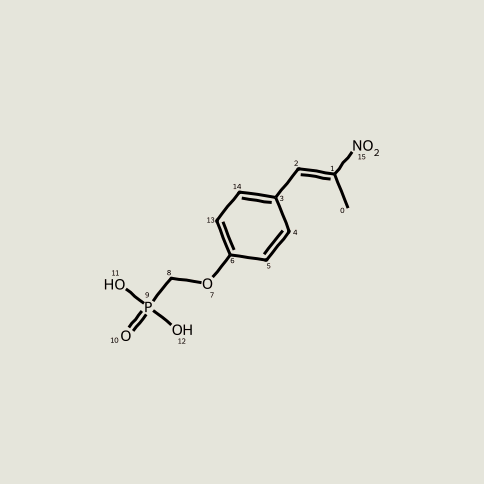 C/C(=C\c1ccc(OCP(=O)(O)O)cc1)[N+](=O)[O-]